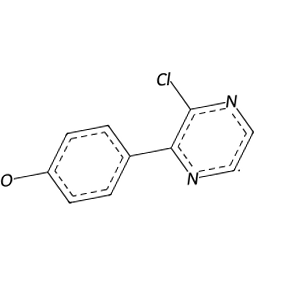 Oc1ccc(-c2n[c]cnc2Cl)cc1